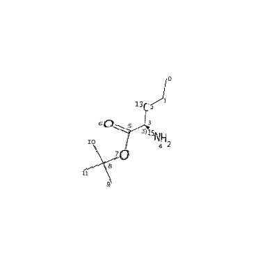 CC[13CH2][C@@H]([15NH2])C(=O)OC(C)(C)C